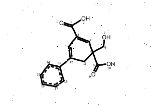 O=C(O)C1=CC(CO)(C(=O)O)CC(c2ccccc2)=C1